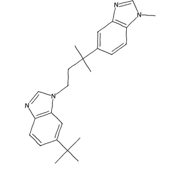 Cn1cnc2cc(C(C)(C)CCn3cnc4ccc(C(C)(C)C)cc43)ccc21